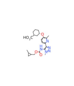 Cc1nc(-c2nnn(C)c2NC(=O)OCC2CC2C)ccc1O[C@H]1CCC[C@H](C(=O)O)C1